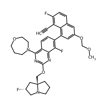 C#Cc1c(F)ccc2cc(OCOC)cc(-c3ccc4c(N5CCCOCC5)nc(OC[C@@]56CCCN5C[C@H](F)C6)nc4c3F)c12